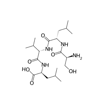 CC(C)C[C@H](NC(=O)[C@@H](NC(=O)[C@H](CC(C)C)NC(=O)[C@@H](N)CO)C(C)C)C(=O)O